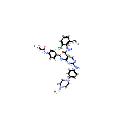 C=CC(=O)Nc1ccc(CNc2nc(Nc3ccc(N4CCN(C)CC4)cc3)ncc2C(=O)Nc2c(C)cccc2Cl)cc1